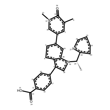 Cc1cc(-c2ccc3c(-c4ccc(C(=O)O)cc4)cn([C@@H](C)c4ccccn4)c3c2)cn(C)c1=O